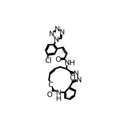 O=C(/C=C\c1cc(Cl)ccc1-n1cnnn1)NC1CC=CCCC(=O)Nc2ccccc2-c2nnc1o2